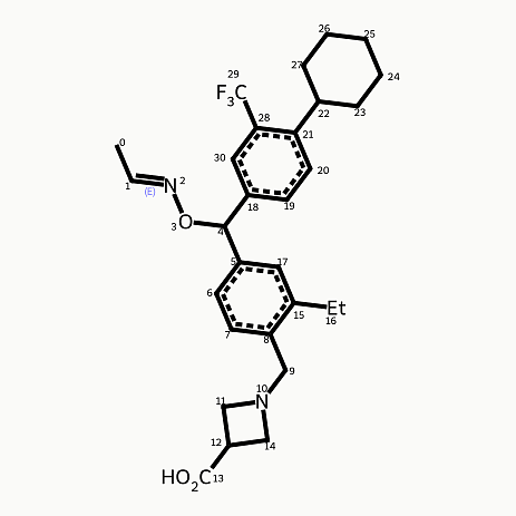 C/C=N/OC(c1ccc(CN2CC(C(=O)O)C2)c(CC)c1)c1ccc(C2CCCCC2)c(C(F)(F)F)c1